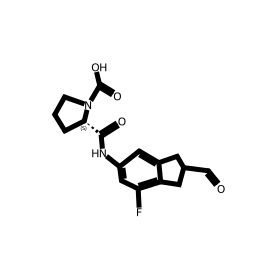 O=CC1Cc2cc(NC(=O)[C@@H]3CCCN3C(=O)O)cc(F)c2C1